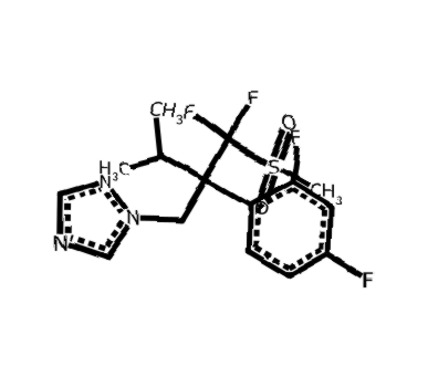 CC(C)C(Cn1cncn1)(c1ccc(F)cc1F)C(F)(F)S(C)(=O)=O